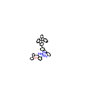 C1=CC2=C(CC1)C1(C3=C(C=C(C4=Cc5c6c(n(C7N=C(c8cccc9c%10c(oc89)C=CCC%10)c8ccccc8N7)c5CC4)CCC=C6)CC3)c3ccccc31)c1ccccc12